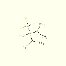 CC(C)C(C)(C(C)C)C(F)(F)F